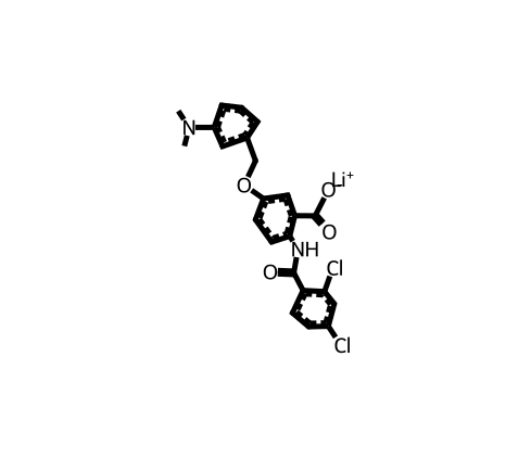 CN(C)c1cccc(COc2ccc(NC(=O)c3ccc(Cl)cc3Cl)c(C(=O)[O-])c2)c1.[Li+]